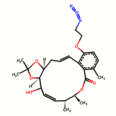 Cc1ccc(OCCN=[N+]=[N-])c2c1C(=O)O[C@@H](C)[C@H](C)/C=C\C(O)[C@H]1OC(C)(C)O[C@H]1C/C=C/2